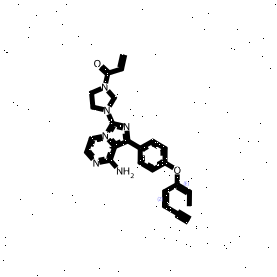 C#C/C=C\C(=C/C)Oc1ccc(-c2nc(N3CCN(C(=O)C=C)C3)n3ccnc(N)c23)cc1